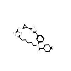 CC(C)(C)c1noc(CCCCCN(C(=O)C2CCC(F)(F)CC2)c2cccc(-c3nc(C4CC4)no3)c2)n1